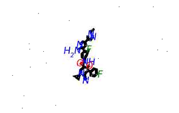 CCn1cc(-c2cnc(N)c(-c3ccc(NC(=O)c4cn(C5CC5)c(C#N)c(-c5ccc(F)cc5)c4=O)cc3F)c2)cn1